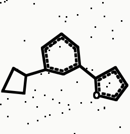 c1cc(-c2ccco2)cc(C2CCC2)c1